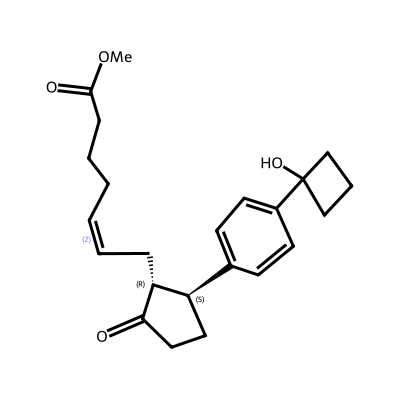 COC(=O)CCC/C=C\C[C@H]1C(=O)CC[C@@H]1c1ccc(C2(O)CCC2)cc1